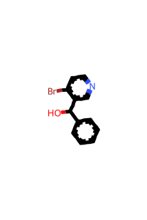 OC(c1ccccc1)c1cnccc1Br